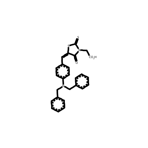 O=C(O)CN1C(=O)/C(=C\c2ccc(N(Cc3ccccc3)Cc3ccccc3)cc2)SC1=S